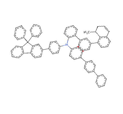 CC1CC=Cc2cccc(-c3cccc(-c4ccccc4N(c4ccc(-c5ccc(-c6ccccc6)cc5)cc4)c4ccc(-c5ccc6c(c5)C(c5ccccc5)(c5ccccc5)c5ccccc5-6)cc4)c3)c21